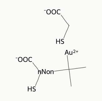 CCCCCCCCC[C](C)(C)[Au+2].O=C([O-])CS.O=C([O-])CS